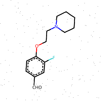 O=Cc1ccc(OCCN2CCCCC2)c(F)c1